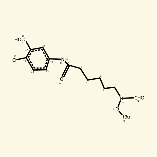 CC(C)(C)ON(C=O)CCCCCC(=O)Nc1ccc(Cl)c(C(=O)O)c1